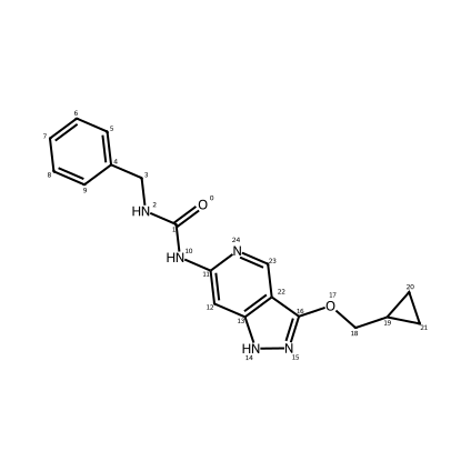 O=C(NCc1ccccc1)Nc1cc2[nH]nc(OCC3CC3)c2cn1